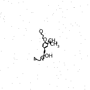 CN(C)c1cc(C#CC2(O)CN(CC3CC3)C2)ccc1OCCC=O